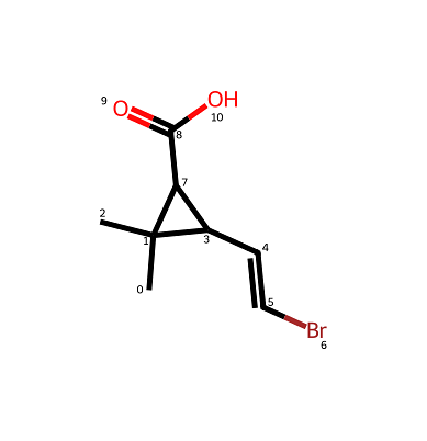 CC1(C)C(C=CBr)C1C(=O)O